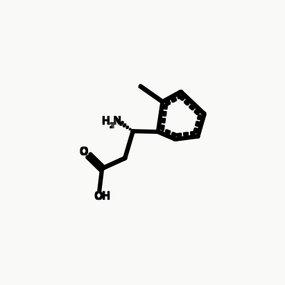 Cc1ccccc1[C@@H](N)CC(=O)O